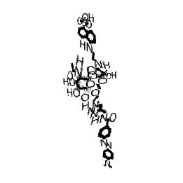 CC(=O)N[C@H]1[C@H](O[C@@H](OCCOCCn2cc(CNC(=O)c3ccc(/N=N/c4ccc(N(C)C)cc4)cc3)nn2)[C@@](C)(O)C(=O)NCCNc2cccc3c(S(=O)(=O)O)cccc23)O[C@H](CO)[C@@H](O)[C@@H]1O